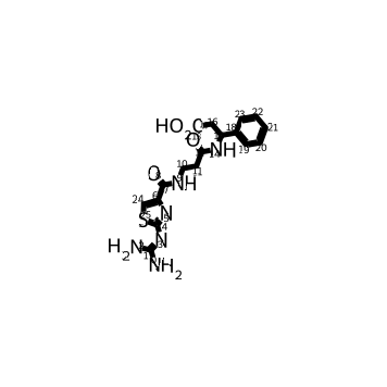 NC(N)=Nc1nc(C(=O)NCCC(=O)NC(CC(=O)O)c2ccccc2)cs1